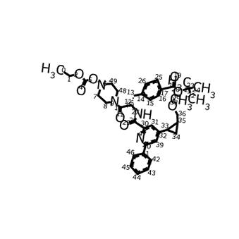 CCOC(=O)ON1CCN(C(=O)[C@H](Cc2ccc(C(=O)OC(C)(C)C)cc2)NC(=O)c2cc(C3CC3COC)cc(-c3ccccc3)n2)CC1